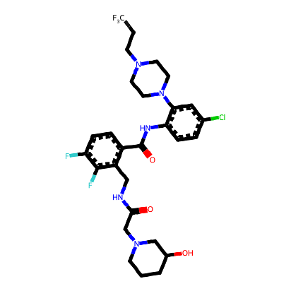 O=C(CN1CCCC(O)C1)NCc1c(C(=O)Nc2ccc(Cl)cc2N2CCN(CCC(F)(F)F)CC2)ccc(F)c1F